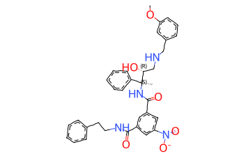 COc1cccc(CNC[C@@H](O)[C@@](C)(NC(=O)c2cc(C(=O)NCCc3ccccc3)cc([N+](=O)[O-])c2)c2ccccc2)c1